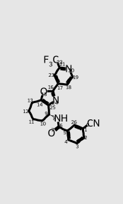 N#Cc1cccc(C(=O)N[C@@H]2CCCCc3oc(-c4ccnc(C(F)(F)F)c4)nc32)c1